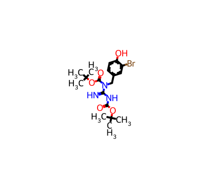 CC(C)(C)OC(=O)NC(=N)N(Cc1ccc(O)c(Br)c1)C(=O)OC(C)(C)C